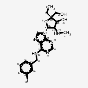 CC[C@]1(CO)O[C@@H](n2cnc3c(NCc4cccc(I)c4)ncnc32)C(NC)C1O